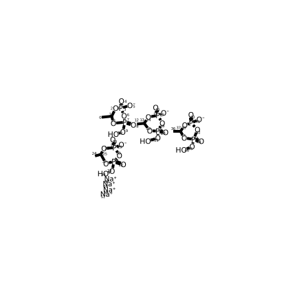 CC1OP(=O)([O-])OP(=O)(OO)O1.CC1OP(=O)([O-])OP(=O)(OO)O1.CC1OP(=O)([O-])OP(=O)(OO)O1.CC1OP(=O)([O-])OP(=O)(OO)O1.[Na+].[Na+].[Na+].[Na+]